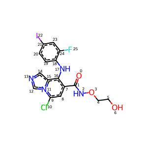 O=C(NOCCO)c1cc(Cl)n2cncc2c1Nc1ccc(I)cc1F